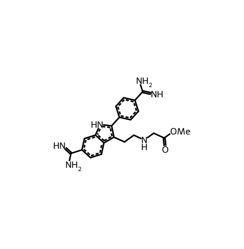 COC(=O)CNCCc1c(-c2ccc(C(=N)N)cc2)[nH]c2cc(C(=N)N)ccc12